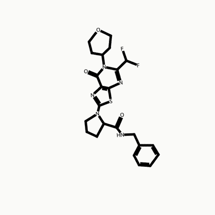 O=C(NCc1ccccc1)C1CCCN1c1nc2c(=O)n(C3CCOCC3)c(C(F)F)nc2s1